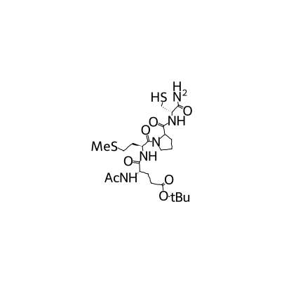 CSCC[C@H](NC(=O)[C@H](CCC(=O)OC(C)(C)C)NC(C)=O)C(=O)N1CCCC1C(=O)N[C@H](CS)C(N)=O